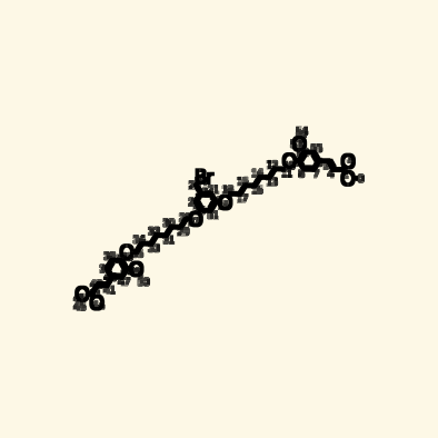 COC(=O)C=Cc1ccc(OCCCCCCCCOc2cc(CBr)cc(OCCCCCCCCOc3ccc(C=CC(=O)OC)cc3OC)c2)c(OC)c1